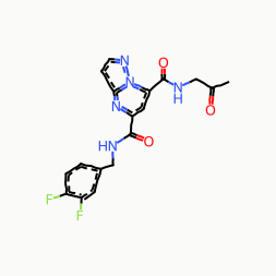 CC(=O)CNC(=O)c1cc(C(=O)NCc2ccc(F)c(F)c2)nc2ccnn12